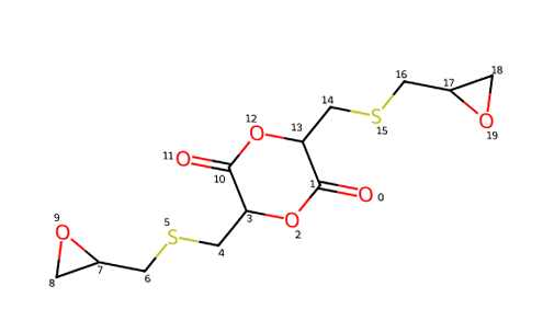 O=C1OC(CSCC2CO2)C(=O)OC1CSCC1CO1